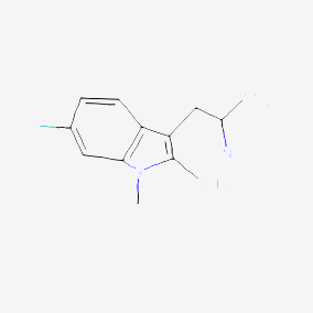 Cc1c(CC(N)C(=O)O)c2ccc(F)cc2n1C